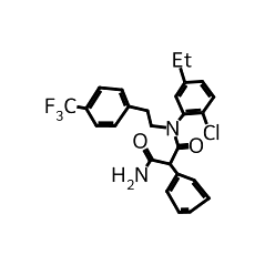 CCc1ccc(Cl)c(N(CCc2ccc(C(F)(F)F)cc2)C(=O)C(C(N)=O)c2ccccc2)c1